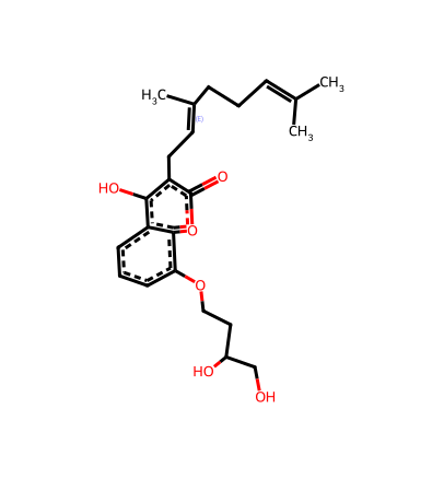 CC(C)=CCC/C(C)=C/Cc1c(O)c2cccc(OCCC(O)CO)c2oc1=O